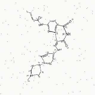 CC=CC(=O)Nc1ccc2c(c1)C(=CNc1ccc(N3CCN(C)CC3)cc1)C(=O)NC2=O